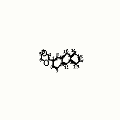 [c]1c(C2COCCO2)ccc2cc3ccccc3cc12